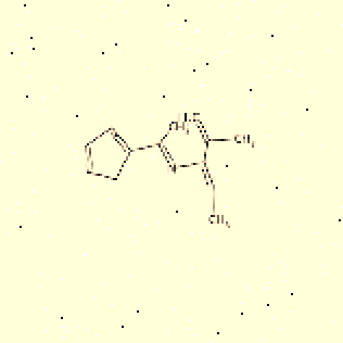 C=C(C)C(=C/C)/N=C(\C)C1=CC=CC1